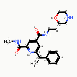 CNC(=O)c1cc(C(=O)NCC[C@H]2CNCCO2)cc([C@@H](C)c2ccccc2)n1